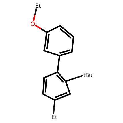 CCOc1cccc(-c2ccc(CC)cc2C(C)(C)C)c1